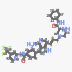 Nc1ncc(/C=C/CN2CCN[C@@H](C(=O)NC3CCCCC3)C2)c2[nH]nc(-c3ccc(C(=O)Nc4cc(C(F)(F)F)ccn4)cc3)c12